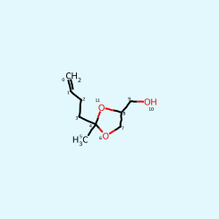 C=CCCC1(C)OCC(CO)O1